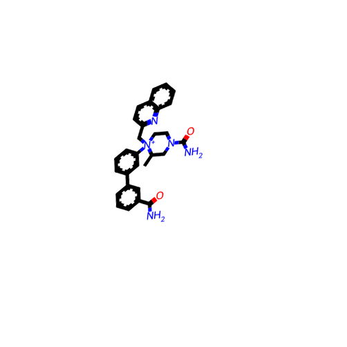 CC1CN(C(N)=O)CC[N+]1(Cc1ccc2ccccc2n1)c1cccc(-c2cccc(C(N)=O)c2)c1